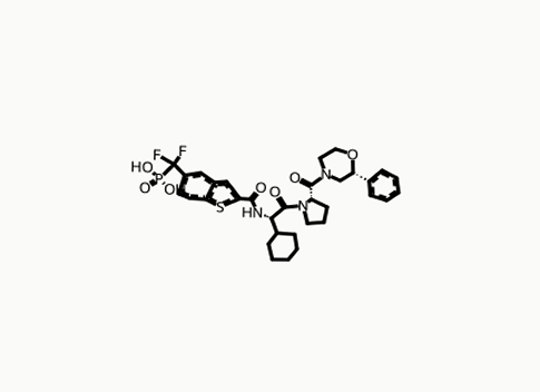 O=C(N[C@H](C(=O)N1CCC[C@H]1C(=O)N1CCO[C@H](c2ccccc2)C1)C1CCCCC1)c1cc2cc(C(F)(F)P(=O)(O)O)ccc2s1